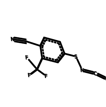 N#Cc1ccc(SN=C=O)cc1C(F)(F)F